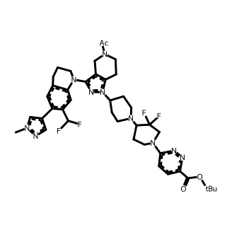 CC(=O)N1CCc2c(c(N3CCCc4cc(-c5cnn(C)c5)c(C(F)F)cc43)nn2C2CCN(C3CCN(c4ccc(C(=O)OC(C)(C)C)nn4)CC3(F)F)CC2)C1